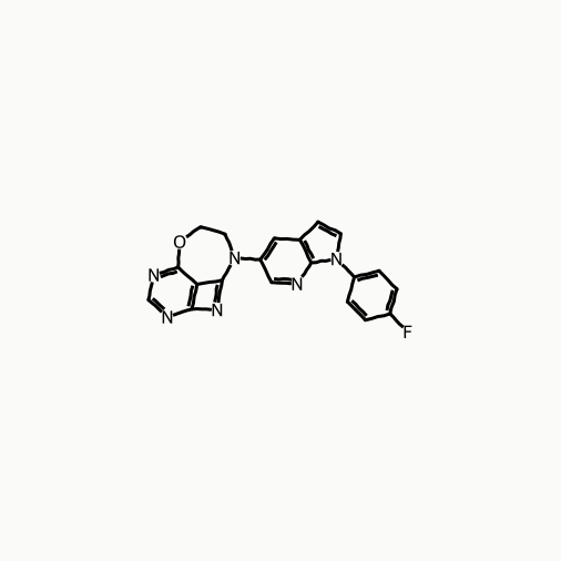 Fc1ccc(-n2ccc3cc(N4CCOc5ncnc6c5C4=N6)cnc32)cc1